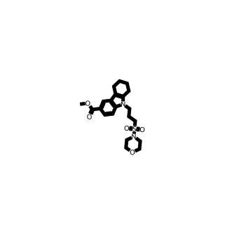 COC(=O)c1ccc2c(c1)c1c(n2CCCS(=O)(=O)N2CCOCC2)CCCC1